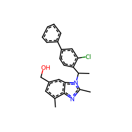 Cc1cc(CO)cc2c1nc(C)n2C(C)c1ccc(-c2ccccc2)cc1Cl